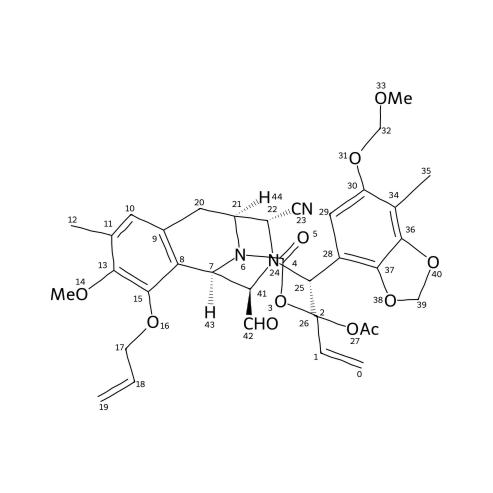 C=CCOC(=O)N1[C@@H]2c3c(cc(C)c(OC)c3OCC=C)C[C@H]1[C@H](C#N)N([C@@H](COC(C)=O)c1cc(OCOC)c(C)c3c1OCO3)[C@H]2C=O